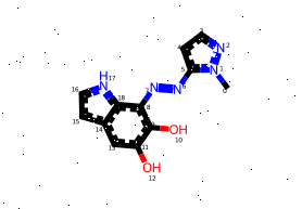 Cn1nccc1/N=N/c1c(O)c(O)cc2cc[nH]c12